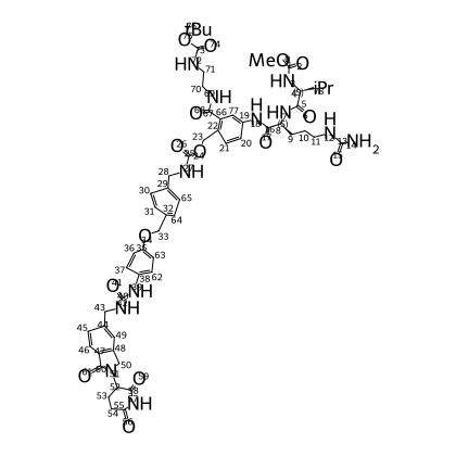 COC(=O)N[C@H](C(=O)N[C@@H](CCCNC(N)=O)C(=O)Nc1ccc(COC(=O)NCc2ccc(COc3ccc(NC(=O)NCc4ccc5c(c4)CN(C4CCC(=O)NC4=O)C5=O)cc3)cc2)c(C(=O)NCCNC(=O)OC(C)(C)C)c1)C(C)C